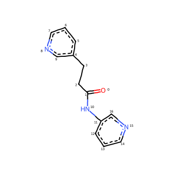 O=C(CCc1cccnc1)Nc1cccnc1